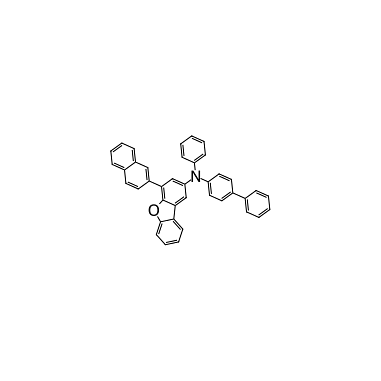 c1ccc(-c2ccc(N(c3ccccc3)c3cc(-c4ccc5ccccc5c4)c4oc5ccccc5c4c3)cc2)cc1